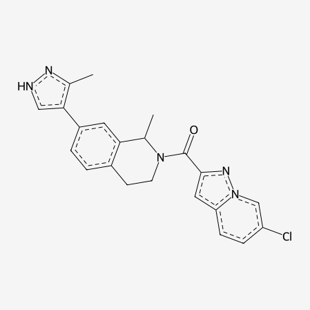 Cc1n[nH]cc1-c1ccc2c(c1)C(C)N(C(=O)c1cc3ccc(Cl)cn3n1)CC2